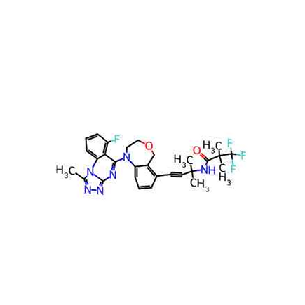 Cc1nnc2nc(N3CCOCc4c(C#CC(C)(C)NC(=O)C(C)(C)C(F)(F)F)cccc43)c3c(F)cccc3n12